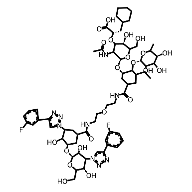 CCC1CC(C(=O)NCCOCCNC(=O)C2CC(n3cc(-c4cccc(F)c4)nn3)C(O)[C@H](O[C@@H]3OC(CO)[C@H](O)C(n4cc(-c5cccc(F)c5)nn4)C3O)C2)C[C@@H](O[C@@H]2OC(CO)[C@H](O)C(O[C@@H](CC3CCCCC3)C(=O)O)C2NC(C)=O)C1O[C@@H]1OC(C)[C@@H](O)C(O)C1O